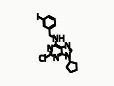 Clc1nc(NCc2cccc(I)c2)c2ncn(C3CCCC3)c2n1